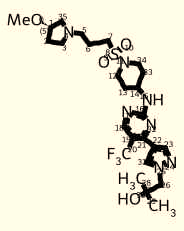 CO[C@H]1CCN(CCCS(=O)(=O)N2CCC(Nc3ncc(C(F)(F)F)c(-c4cnn(CC(C)(C)O)c4)n3)CC2)C1